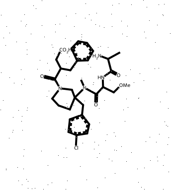 COCC(NC(=O)C(C)N)C(=O)N(C)C1(Cc2ccc(Cl)cc2)CCCN(C(=O)C(CC(=O)O)Cc2ccccc2)C1